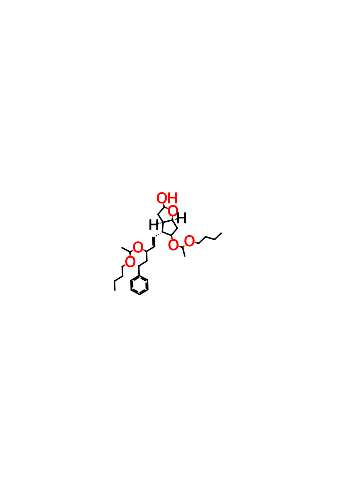 CCCCOC(C)OC(/C=C/[C@@H]1[C@H]2CC(O)O[C@H]2C[C@H]1OC(C)OCCCC)CCc1ccccc1